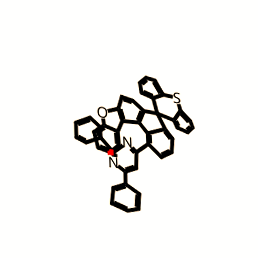 c1ccc(-c2cc(-c3cccc4c3-c3c(ccc5oc6ccccc6c35)C43c4ccccc4Sc4ccccc43)nc(-c3ccccc3)n2)cc1